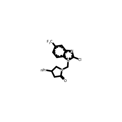 CCCC1CC(=O)N(Cn2c(Cl)nc3cc(C(F)(F)F)ccc32)C1